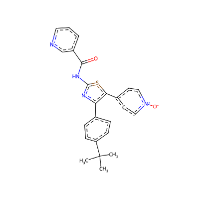 CC(C)(C)c1ccc(-c2nc(NC(=O)c3cccnc3)sc2-c2cc[n+]([O-])cc2)cc1